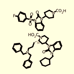 O=C(O)N1CCC(n2c(=O)n(CC3CCCCC3)c3ccccc32)C[C@@H]1CCCN(Cc1ccccc1)Cc1ccccc1.O=C(O)N1CCC(n2c(=O)n(S(=O)(=O)c3ccc(F)cc3)c3ccccc32)CC1